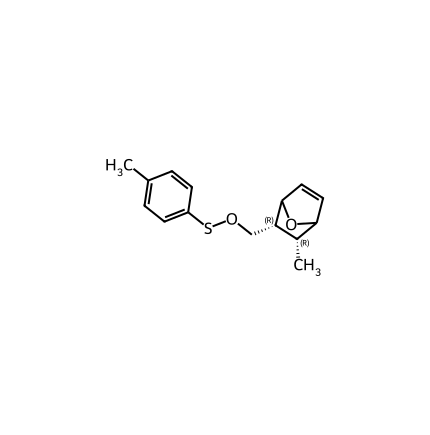 Cc1ccc(SOC[C@@H]2C3C=CC(O3)[C@@H]2C)cc1